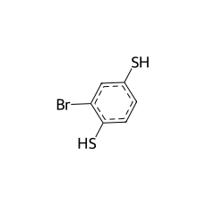 Sc1ccc(S)c(Br)c1